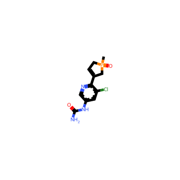 CP1(=O)CC=C(c2ncc(NC(N)=O)cc2Cl)C1